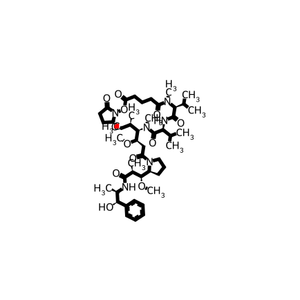 CC[C@H](C)[C@@H]([C@@H](CC(=O)N1CCC[C@H]1[C@H](OC)[C@@H](C)C(=O)N[C@H](C)[C@@H](O)c1ccccc1)OC)N(C)C(=O)[C@@H](NC(=O)[C@H](C(C)C)N(C)C(=O)CCCC(=O)ON1C(=O)CCC1=O)C(C)C